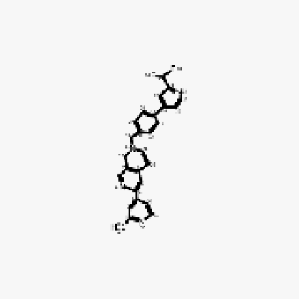 Cc1cc(-c2cc3c(cn2)CN(Cc2ccc(-c4ccnc(C(F)F)c4)cc2)C=C3)ccn1